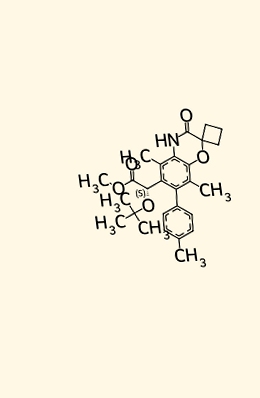 COC(=O)[C@@H](OC(C)(C)C)c1c(C)c2c(c(C)c1-c1ccc(C)cc1)OC1(CCC1)C(=O)N2